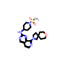 CS(=O)(=O)N1CCC(Nc2ncc3ccnc(N4CCC5(CCOCC5)C4)c3n2)CC1